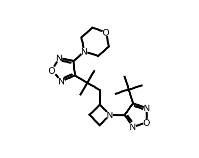 CC(C)(C)c1nonc1N1CCC1CC(C)(C)c1nonc1N1CCOCC1